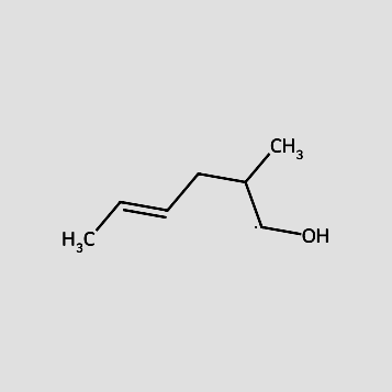 C/C=C/CC(C)[CH]O